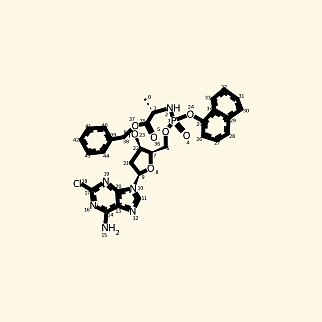 C[C@H](NP(=O)(OC[C@H]1O[C@@H](n2cnc3c(N)nc(Cl)nc32)C[C@H]1O)Oc1cccc2ccccc12)C(=O)OCc1ccccc1